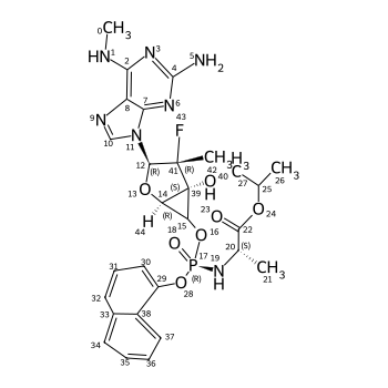 CNc1nc(N)nc2c1ncn2[C@@H]1O[C@@H]2C(O[P@](=O)(N[C@@H](C)C(=O)OC(C)C)Oc3cccc4ccccc34)[C@]2(O)[C@@]1(C)F